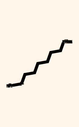 CCCCCCCCCCCC[P]CCC